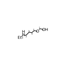 CCNCCCCOCO